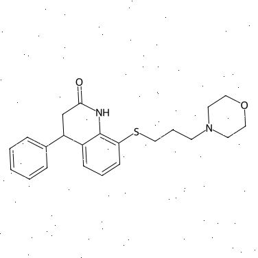 O=C1CC(c2ccccc2)c2cccc(SCCCN3CCOCC3)c2N1